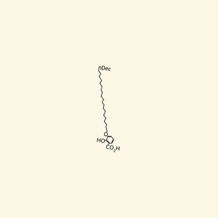 CCCCCCCCCCCCCCCCCCCCCCCCCCCCCCOc1cccc(C(=O)O)c1O